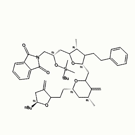 C=C1C[C@H](CCCC)OC1CC[C@H]1C[C@@H](C)C(=C)C(C[C@@H]2OC(C[C@@H](CN3C(=O)c4ccccc4C3=O)O[Si](C)(C)C(C)(C)C)[C@H](C)C2CCc2ccccc2)O1